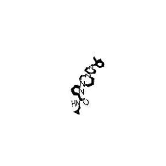 Cc1ccccc1CN1CCC(N2CCCN(c3cccc(C(=O)NCC4CC4)n3)CC2)CC1